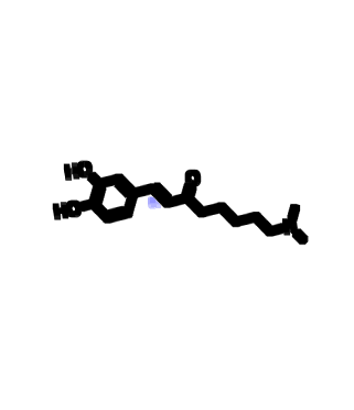 CN(C)CCCCCC(=O)/C=C/c1ccc(O)c(O)c1